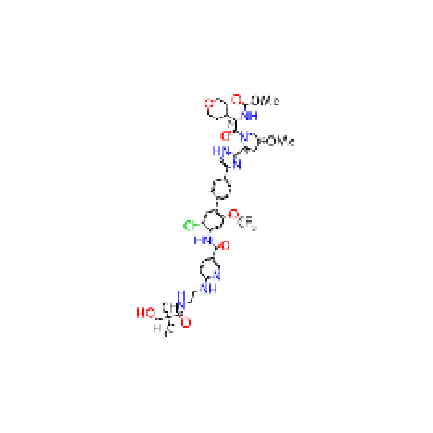 COC(=O)N[C@H](C(=O)N1C[C@@H](OC)C[C@H]1c1nc(-c2ccc(-c3cc(Cl)c(NC(=O)c4ccc(NCCNC(=O)C(C)(C)CO)nc4)cc3OC(F)(F)F)cc2)c[nH]1)C1CCOCC1